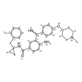 Cc1ccccc1CC1(NC(=O)c2ccc(N)c(C(=N)c3ccc(OC4CCN(C)CC4)cc3)c2)CC1